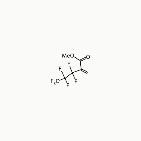 C=C(C(=O)OC)C(F)(F)C(F)(F)C(F)(F)F